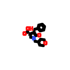 O=C(O)[C@H]1CN(CC2CCOCC2)C(=O)[C@@H]1Cc1ccccc1